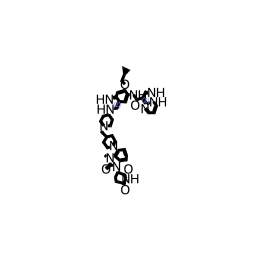 Cn1c(=O)n(C2CCC(=O)NC2=O)c2cccc(N3CCC(CN4CCC(N/C=C5/C=C(NC(=O)/C(C=N)=C6\N=CC=CN6)C(OCC6CC6)=CC5=N)CC4)CC3)c21